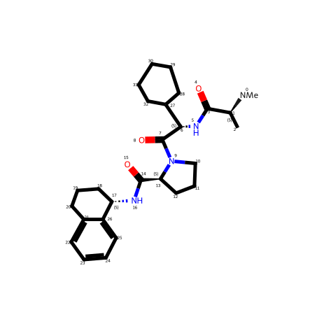 CN[C@@H](C)C(=O)N[C@H](C(=O)N1CCC[C@H]1C(=O)N[C@H]1CCCc2ccccc21)C1CCCCC1